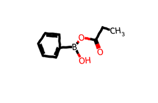 CCC(=O)OB(O)c1ccccc1